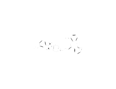 COc1cccc2c1CC(=CCCN1CCN(S(=O)(=O)c3cccc(Cl)c3)CC1)c1cccnc1O2